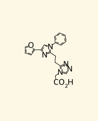 O=C(O)Cn1cnnc1CCc1nc(-c2ccco2)cn1-c1ccccc1